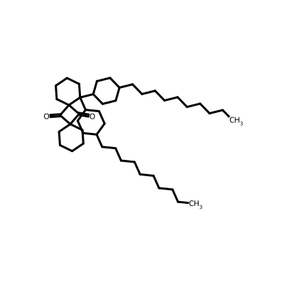 CCCCCCCCCCC1CCC(C2(C3CCC(CCCCCCCCCC)CC3)CCCCC23C(=O)C2(CCCCC2)C3=O)CC1